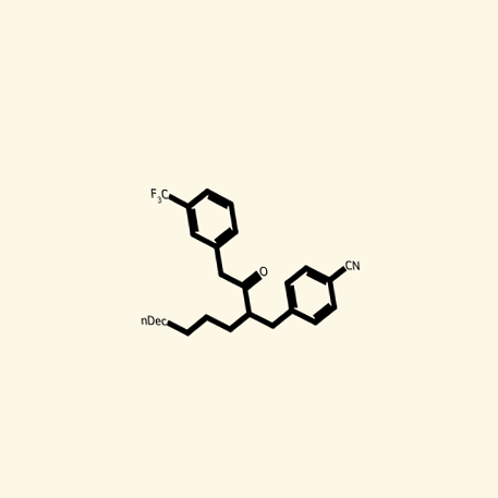 CCCCCCCCCCCCCC(Cc1ccc(C#N)cc1)C(=O)Cc1cccc(C(F)(F)F)c1